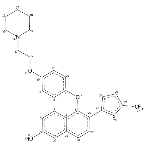 Oc1ccc2c(Oc3ccc(OCCN4CCCCC4)cc3)c(-c3ccc(C(F)(F)F)s3)ccc2c1